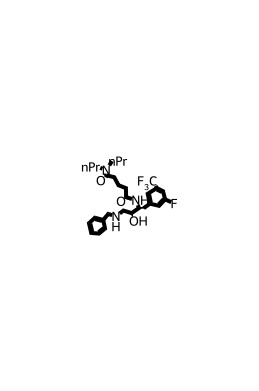 CCCN(CCC)C(=O)CCCC(=O)N[C@@H](Cc1cc(F)cc(C(F)(F)F)c1)[C@H](O)CNCc1ccccc1